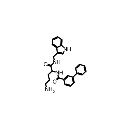 NCCCC(NC(=O)c1cccc(-c2ccccc2)c1)C(=O)NCc1c[nH]c2ccccc12